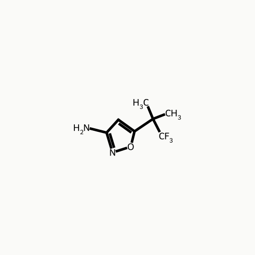 CC(C)(c1cc(N)no1)C(F)(F)F